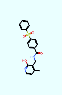 Cc1ccnc(O)c1CNC(=O)c1ccc(S(=O)(=O)c2ccccc2)cc1